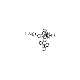 Cc1ccc(-c2ccc3c(c2)c2ccccc2n3-c2ccc(-c3cccc4c5ccccc5n(-c5ccccc5)c34)cc2-c2nc(-c3ccccc3)nc(-c3ccccc3)n2)cc1